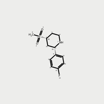 CS(=O)(=O)[C@@H]1CCN[C@H](c2ccc(F)cc2)C1